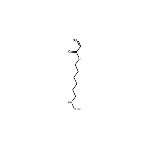 C=CC(=O)OCCCCCCNCCCCCC